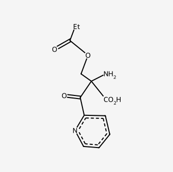 CCC(=O)OCC(N)(C(=O)O)C(=O)c1ccccn1